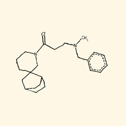 CN(CCC(=O)N1CCCC2(CC3CCC2CC3)C1)Cc1ccccc1